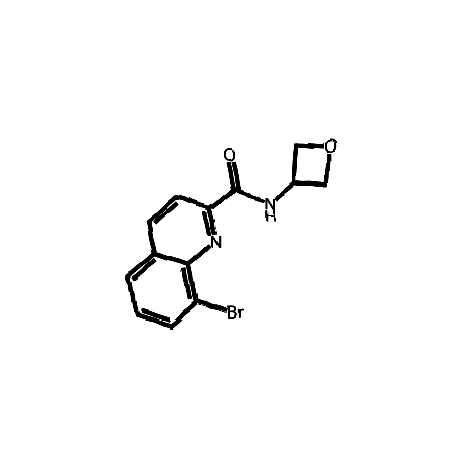 O=C(NC1COC1)c1ccc2cccc(Br)c2n1